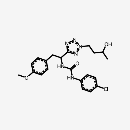 COc1ccc(CC(NC(=O)Nc2ccc(Cl)cc2)c2nnn(CCC(C)O)n2)cc1